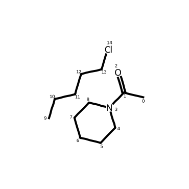 CC(=O)N1CCCCC1.CCCCCCl